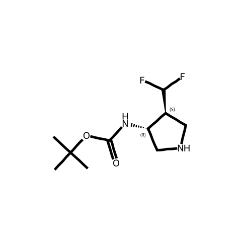 CC(C)(C)OC(=O)N[C@H]1CNC[C@@H]1C(F)F